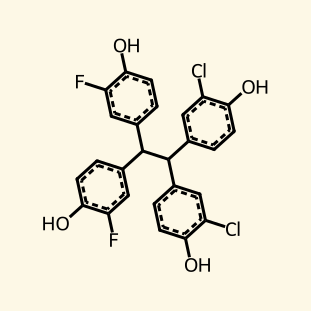 Oc1ccc(C(c2ccc(O)c(F)c2)C(c2ccc(O)c(Cl)c2)c2ccc(O)c(Cl)c2)cc1F